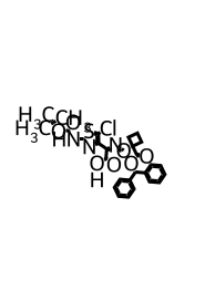 CC(C)(C)OC(=O)Nc1nc(/C(=N/OC2(C(=O)OC(c3ccccc3)c3ccccc3)CCC2)C(=O)O)c(Cl)s1